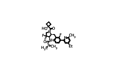 CCc1cc(C)nc(-c2cccc(C[C@H]3[C@@H](N[S+]([O-])N(C)C)C(F)(F)CN3C(=O)C3(O)CCC3)c2F)c1